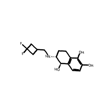 Oc1ccc2c(c1O)CC[C@@H](NCC1CC(F)(F)C1)[C@@H]2O